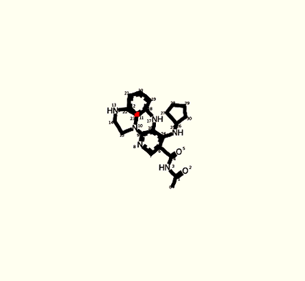 CC(=O)NC(=O)c1cnc(N2CCNCC2)c(Nc2ccccc2)c1NC1CCCC1